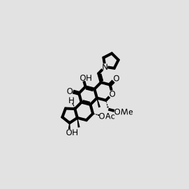 COC[C@H]1OC(=O)C(=CN2CCCC2)C2=C(O)C(=O)C3=C([C@H](OC(C)=O)C[C@]4(C)[C@@H](O)CC[C@@H]34)[C@]21C